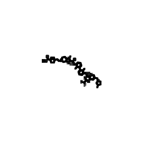 Cc1c(NC(=O)c2nc3c(n2C)CCN(CCC24CCC(C(=O)O)(CC2)C4)C3)cccc1-c1cccc(Nc2nc(C(F)F)nc3cc(CN4CCC(C)C4)cnc23)c1C